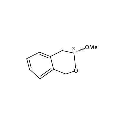 CO[C@H]1[CH]c2ccccc2CO1